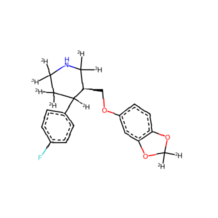 [2H]C1([2H])Oc2ccc(OC[C@@H]3C([2H])([2H])NC([2H])([2H])C([2H])([2H])C3([2H])c3ccc(F)cc3)cc2O1